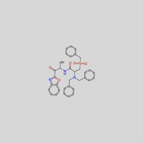 CCCC(NC(=O)C(CS(=O)(=O)Cc1ccccc1)N(Cc1ccccc1)Cc1ccccc1)C(=O)c1nc2ccccc2o1